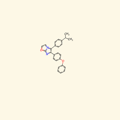 CC(C)c1ccc(-c2c(-c3ccc(Oc4ccccc4)cc3)nc3occn23)cc1